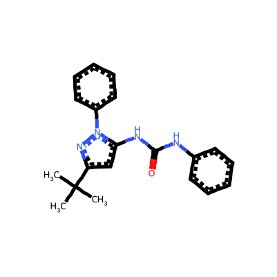 CC(C)(C)c1cc(NC(=O)Nc2ccccc2)n(-c2ccccc2)n1